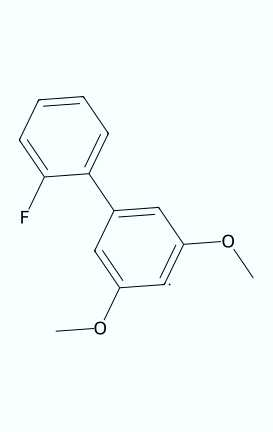 COc1[c]c(OC)cc(-c2ccccc2F)c1